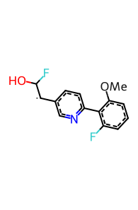 COc1cccc(F)c1-c1ccc([CH]C(O)F)cn1